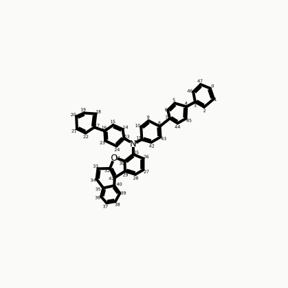 c1ccc(-c2ccc(-c3ccc(N(c4ccc(-c5ccccc5)cc4)c4cccc5c4oc4ccc6ccccc6c45)cc3)cc2)cc1